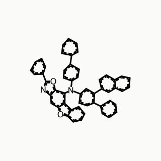 c1ccc(-c2ccc(N(c3ccc(-c4ccccc4)c(-c4ccc5ccccc5c4)c3)c3c4oc(-c5ccccc5)nc4cc4oc5ccccc5c34)cc2)cc1